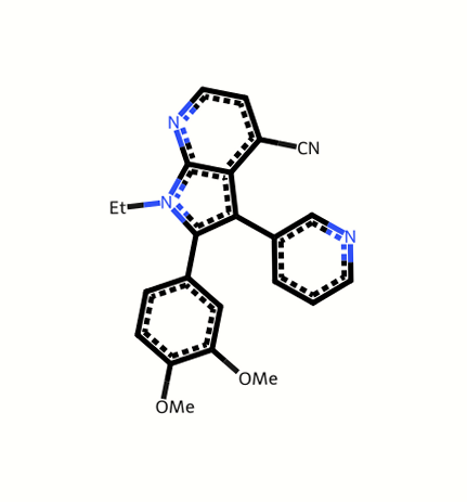 CCn1c(-c2ccc(OC)c(OC)c2)c(-c2cccnc2)c2c(C#N)ccnc21